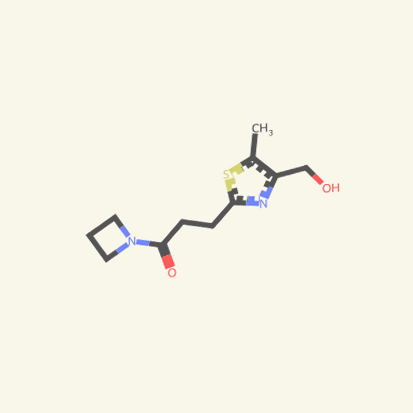 Cc1sc(CCC(=O)N2CCC2)nc1CO